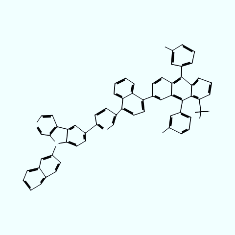 Cc1cccc(-c2c3ccc(-c4ccc(-c5ccc(-c6ccc7c(c6)c6ccncc6n7-c6ccc7ccccc7c6)nc5)c5ccccc45)cc3c(-c3cccc(C)c3)c3c(C(F)(F)F)cccc23)c1